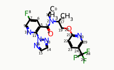 CCN(C(=O)c1cc(F)cnc1-n1nccn1)C(C)COc1ccc(C(F)(F)F)cn1